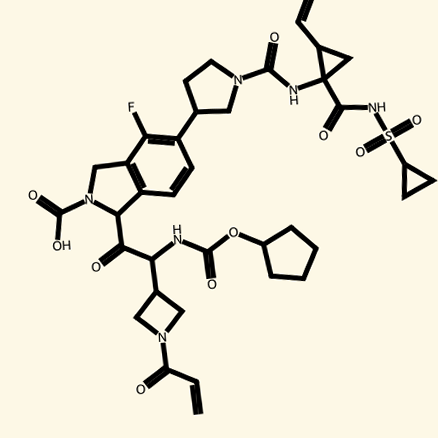 C=CC(=O)N1CC(C(NC(=O)OC2CCCC2)C(=O)C2c3ccc(C4CCN(C(=O)NC5(C(=O)NS(=O)(=O)C6CC6)CC5C=C)C4)c(F)c3CN2C(=O)O)C1